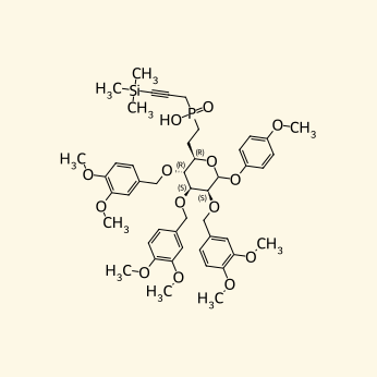 COc1ccc(OC2O[C@H](CCP(=O)(O)CC#C[Si](C)(C)C)[C@@H](OCc3ccc(OC)c(OC)c3)[C@H](OCc3ccc(OC)c(OC)c3)[C@@H]2OCc2ccc(OC)c(OC)c2)cc1